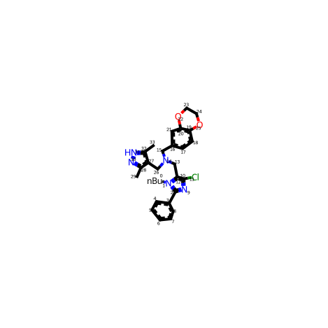 CCCCn1c(-c2ccccc2)nc(Cl)c1CN(Cc1ccc2c(c1)OCCO2)Cc1c(C)n[nH]c1C